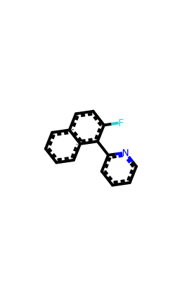 Fc1ccc2ccccc2c1-c1ccccn1